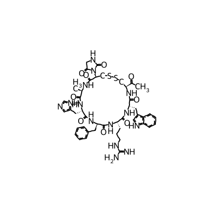 CC(=O)[C@@H]1CSSC[C@H](N2C(=O)CNC2=O)C(=O)N[C@H](C)C(=O)N[C@@H](Cc2cnc[nH]2)C(=O)N[C@H](Cc2ccccc2)C(=O)N[C@@H](CCCNC(=N)N)C(=O)N[C@@H](Cc2c[nH]c3ccccc23)C(=O)N1